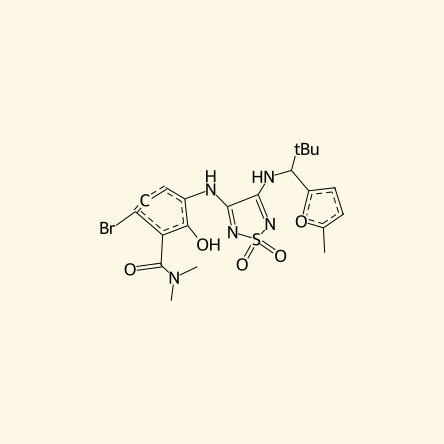 Cc1ccc(C(NC2=NS(=O)(=O)N=C2Nc2ccc(Br)c(C(=O)N(C)C)c2O)C(C)(C)C)o1